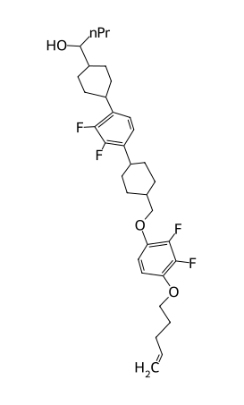 C=CCCCOc1ccc(OCC2CCC(c3ccc(C4CCC(C(O)CCC)CC4)c(F)c3F)CC2)c(F)c1F